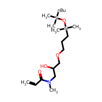 C=CC(=O)N(C)CC(O)COCCC[Si](C)(C)O[Si](C)(C)CCCC